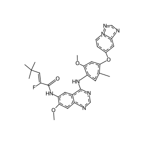 COc1cc2ncnc(Nc3cc(C)c(Oc4ccn5ncnc5c4)cc3OC)c2cc1NC(=O)C(F)=CC(C)(C)C